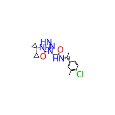 Cc1cc([C@H](C)NC(=O)CN(N=N)C(=O)NC2(C3CC3)CC2)ccc1Cl